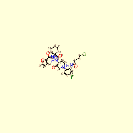 O=C(CCCCl)Nc1cc(F)ccc1N1CCC(NC(=O)C2(NC(=O)c3ccco3)CCCCC2)C(=O)C1